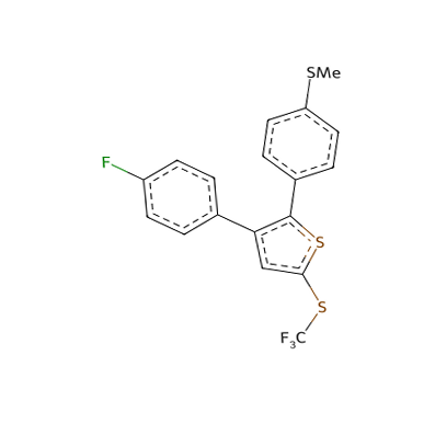 CSc1ccc(-c2sc(SC(F)(F)F)cc2-c2ccc(F)cc2)cc1